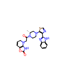 C[C@@H]1CN(c2scnc2-c2nc3ccccc3[nH]2)CCN1C(=O)CN1CC=Cc2oc(=O)[nH]c21